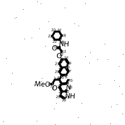 COC(=O)CC(c1ccc2ccc(OCC(=O)NC3CCCCC3)cc2c1)c1cc2cc[nH]c2nc1C